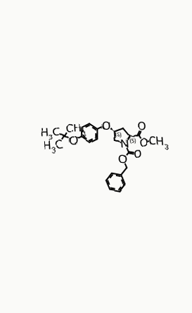 COC(=O)[C@@H]1C[C@H](Oc2ccc(OC(C)(C)C)cc2)CN1C(=O)OCc1ccccc1